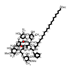 CCCCCCCCCCCCCCCCCCCCCCCCCCCCCC(O)CC(=O)N[C@H](Cc1ccccc1)C(=O)N[C@@H](C(=O)N[C@H](C)C(=O)N[C@@H](C)COC1O[C@@H](C)[C@H](OC)[C@@H](OC)[C@H]1O)[C@@H](C)OC1O[C@@H](C)[C@@H](O)[C@@H](O)[C@H]1O[C@@H]1O[C@@H](C)[C@H](O)[C@@H](O[C@@H]2O[C@@H](C)[C@@H](O[C@@H]3O[C@@H](C)[C@H](OC)[C@@H](O)[C@H]3O)[C@@H](O)[C@@H]2OC)[C@H]1O